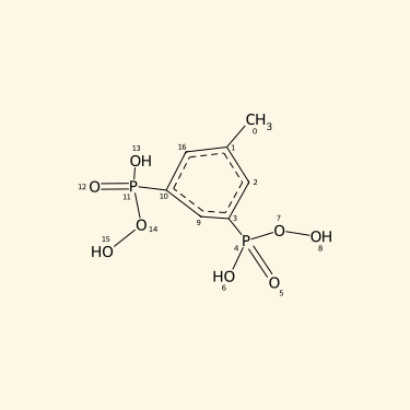 Cc1cc(P(=O)(O)OO)cc(P(=O)(O)OO)c1